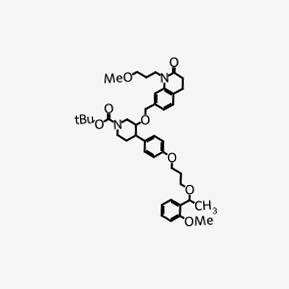 COCCCN1C(=O)CCc2ccc(COC3CN(C(=O)OC(C)(C)C)CCC3c3ccc(OCCCOC(C)c4ccccc4OC)cc3)cc21